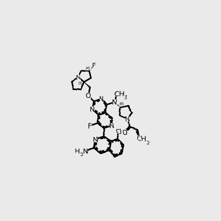 C=CC(=O)N1CC[C@@H](N(C)c2nc(OC[C@@]34CCCN3C[C@H](F)C4)nc3c(F)c(-c4nc(N)cc5cccc(Cl)c45)ncc23)C1